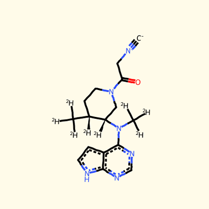 [2H]C([2H])([2H])N(c1ncnc2[nH]ccc12)[C@@]1([2H])CN(C(=O)C[N+]#[C-])CC[C@@]1([2H])C([2H])([2H])[2H]